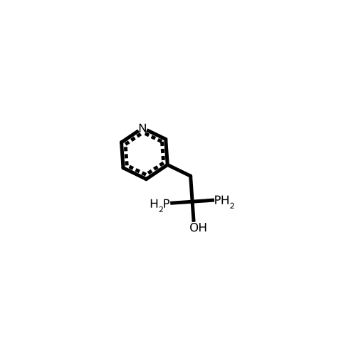 OC(P)(P)Cc1cccnc1